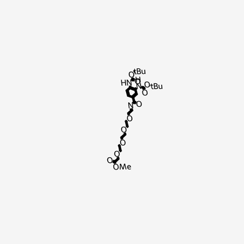 COC(=O)COCCOCCOCCOC/C=N/C(=O)c1ccc(NC(=O)OC(C)(C)C)c(NC(=O)OC(C)(C)C)c1